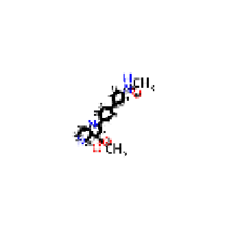 COC(=O)c1cc(-c2ccc(-c3ccc(NC(C)=O)cc3)cc2)nc2ccncc12